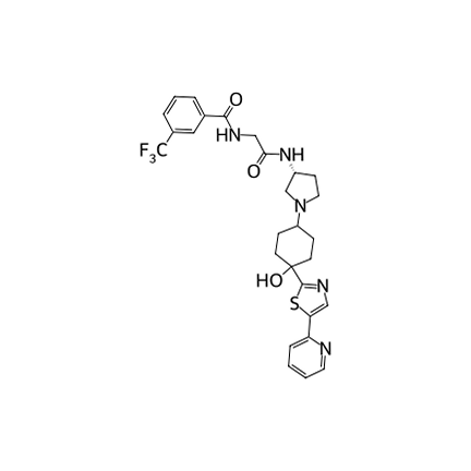 O=C(CNC(=O)c1cccc(C(F)(F)F)c1)N[C@@H]1CCN(C2CCC(O)(c3ncc(-c4ccccn4)s3)CC2)C1